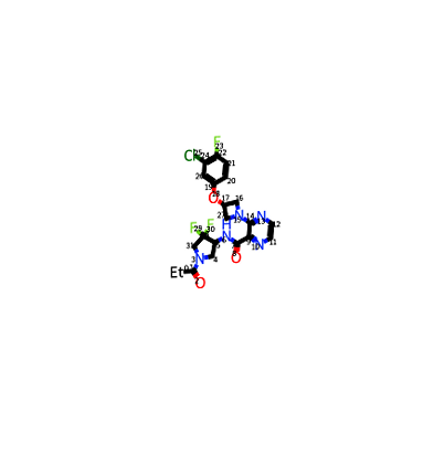 CCC(=O)N1CC(NC(=O)c2nccnc2N2CC(Oc3ccc(F)c(Cl)c3)C2)C(F)(F)C1